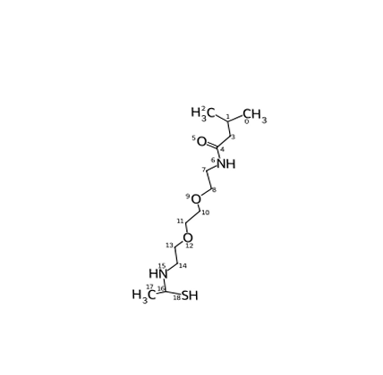 CC(C)CC(=O)NCCOCCOCCNC(C)S